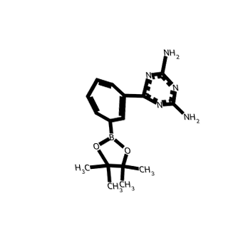 CC1(C)OB(C2C=CC=CC(c3nc(N)nc(N)n3)=C2)OC1(C)C